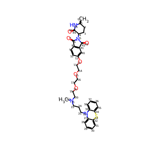 C=C1CCC(N2C(=O)c3ccc(OCCOCCOCCN(C)CCCN4c5ccccc5Sc5ccccc54)cc3C2=O)C(=O)N1